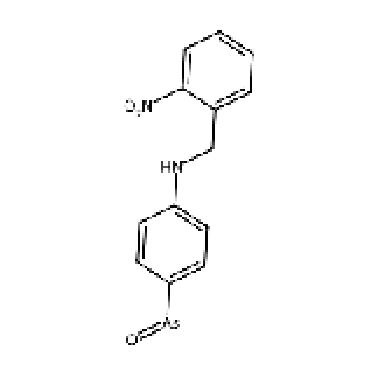 O=[As]c1ccc(NCc2ccccc2[N+](=O)[O-])cc1